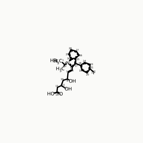 Br.CC(C)n1c(/C=C/C(O)CC(O)CC(=O)O)c(-c2ccc(F)cc2)c2ccccc21